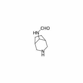 O=CNC1C2CCC1CNC2